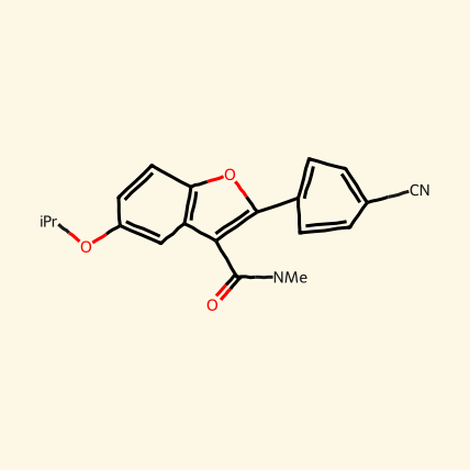 CNC(=O)c1c(-c2ccc(C#N)cc2)oc2ccc(OC(C)C)cc12